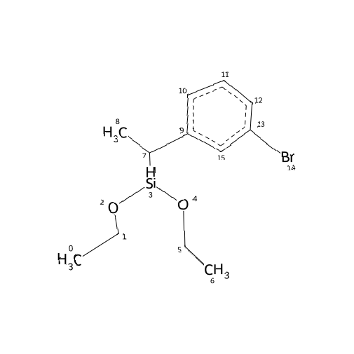 CCO[SiH](OCC)C(C)c1cccc(Br)c1